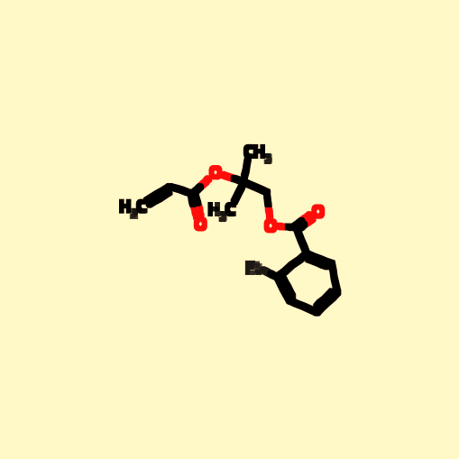 C=CC(=O)OC(C)(C)COC(=O)c1ccccc1CC